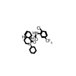 O=C(Nc1cc(C(F)(F)F)ccc1Cl)[C@H]1CC=C[C@H]2CCN(C3CCCCC3)C(=O)[C@@H]12